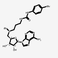 CCC(C)N(CCCNC(=O)Nc1ccc(C(C)(C)C)cc1)C[C@H]1O[C@@H](n2cnc3c(N)ncnc32)[C@H](O)[C@@H]1O